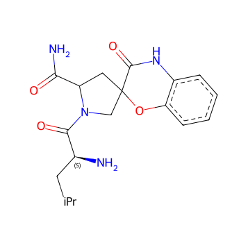 CC(C)C[C@H](N)C(=O)N1CC2(CC1C(N)=O)Oc1ccccc1NC2=O